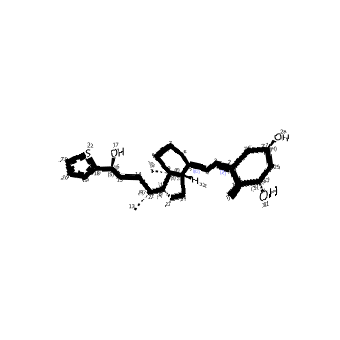 C=C1/C(=C\C=C2/CCC[C@]3(C)[C@@H]([C@H](C)CC[C@H](O)c4cccs4)CC[C@@H]23)C[C@@H](O)C[C@@H]1O